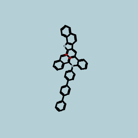 c1ccc(-c2ccc(-c3ccc(N(c4ccccc4-c4ccc5oc6c7ccccc7ccc6c5c4)c4cccc5ccccc45)cc3)cc2)cc1